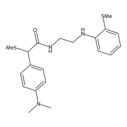 CSc1ccccc1NCCNC(=O)C(SC)c1ccc(N(C)C)cc1